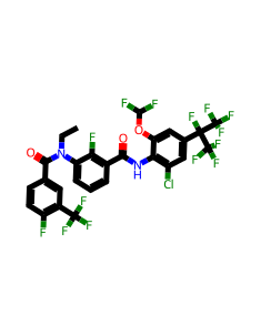 CCN(C(=O)c1ccc(F)c(C(F)(F)F)c1)c1cccc(C(=O)Nc2c(Cl)cc(C(F)(C(F)(F)F)C(F)(F)F)cc2OC(F)F)c1F